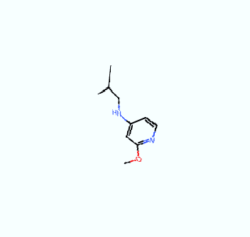 COc1cc(NCC(C)C)ccn1